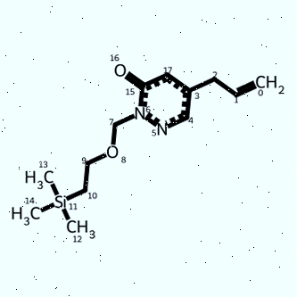 C=CCc1cnn(COCC[Si](C)(C)C)c(=O)c1